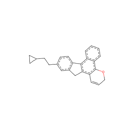 C1=Cc2c3c(c4ccccc4c2OC1)-c1ccc(CCC2CC2)cc1C3